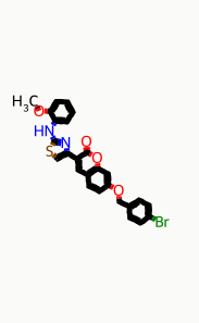 COc1ccccc1Nc1nc(-c2cc3ccc(OCc4ccc(Br)cc4)cc3oc2=O)cs1